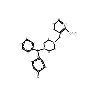 CCOC(=O)C1=C(CN2CCN(C(c3ccccc3)c3ccc(F)cc3)CC2)CCC=N1